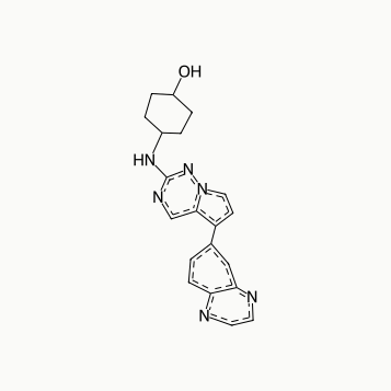 OC1CCC(Nc2ncc3c(-c4ccc5nccnc5c4)ccn3n2)CC1